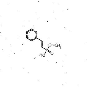 COP(=O)(O)C=Cc1ccccc1